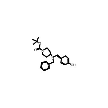 CC(C)(C)OC(=O)N1CCC(N(C=C2C=CC(O)=CC2)Cc2ccccc2)CC1